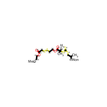 CCCCCCCCCC(C)CSC(=S)SC(C)(C)C(=O)OCCSSCC(=O)OCCOC